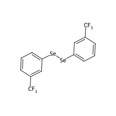 FC(F)(F)c1cccc([Se][Se]c2cccc(C(F)(F)F)c2)c1